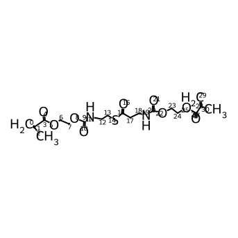 C=C(C)C(=O)OCCOC(=O)NCCSC(=O)CCNC(=O)OCCOC(=O)C(=C)C